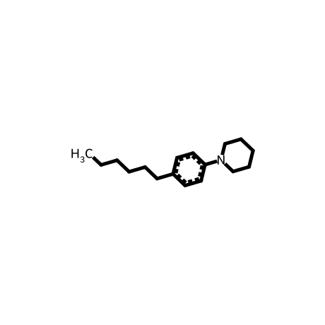 CCCCCCc1ccc(N2CCCCC2)cc1